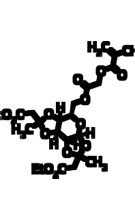 C=C(C)C(=O)OCC(=O)OC[C@H]1O[C@H]2OC(C)(CC(=O)OCC)O[C@@H]2[C@H]2OC(C)(CC(=O)OCC)O[C@H]21